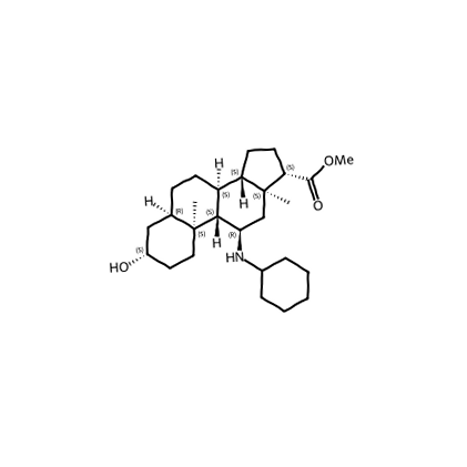 COC(=O)[C@H]1CC[C@H]2[C@@H]3CC[C@@H]4C[C@@H](O)CC[C@]4(C)[C@H]3[C@H](NC3CCCCC3)C[C@]12C